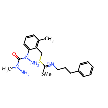 CS/C(=N\CCCc1ccccc1)SCc1c(C)cccc1N(N)C(=O)N(C)N